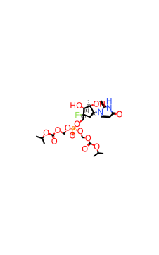 C=C1NC(=O)C=CN1[C@@H]1C[C@](F)(COP(=O)(OCOC(=O)OC(C)C)OCOC(=O)OC(C)C)[C@@H](O)[C@@]1(C)O